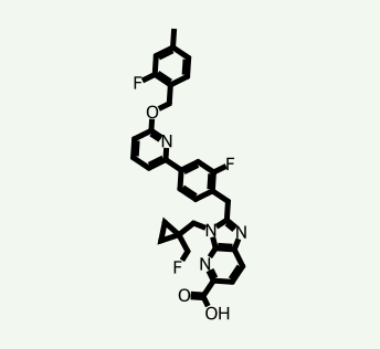 Cc1ccc(COc2cccc(-c3ccc(Cc4nc5ccc(C(=O)O)nc5n4CC4(CF)CC4)c(F)c3)n2)c(F)c1